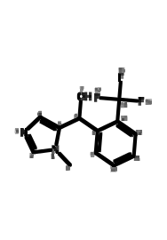 Cn1cncc1C(O)c1ccccc1C(F)(F)F